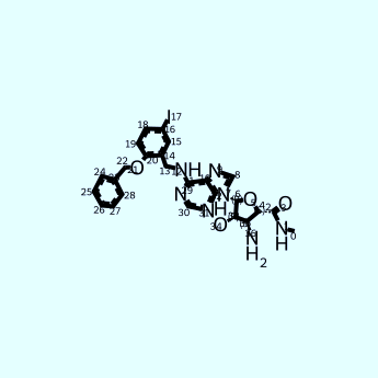 CNC(=O)[C@H]1O[C@@H](n2cnc3c(NCc4cc(I)ccc4OCc4ccccc4)ncnc32)[C@H](O)[C@@H]1N